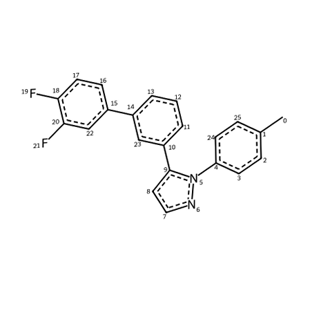 Cc1ccc(-n2nccc2-c2cccc(-c3ccc(F)c(F)c3)c2)cc1